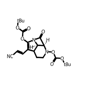 CC(C)(C)OC(=O)OC1=C(/C=C/C#N)C2CCN(OC(=O)OC(C)(C)C)[C@@H]3C(=O)N1[C@H]23